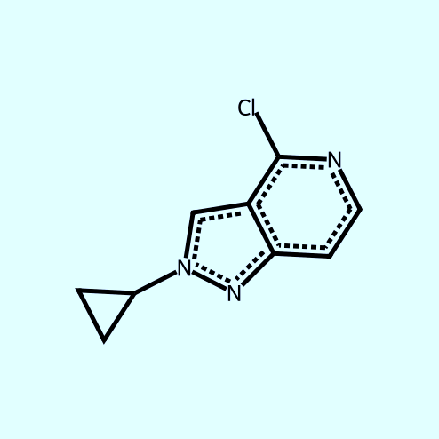 Clc1nccc2nn(C3CC3)cc12